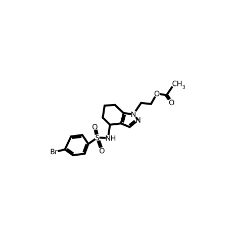 CC(=O)OCCn1ncc2c1CCCC2NS(=O)(=O)c1ccc(Br)cc1